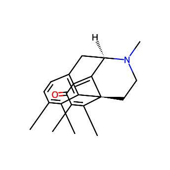 CC1=C(C)[C@]23CCN(C)[C@H](Cc4ccc(C)c(C)c42)C3=CC1=O